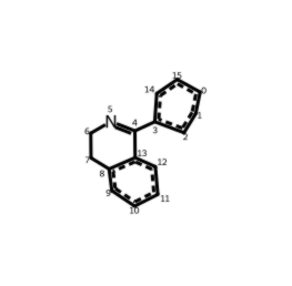 c1ccc(C2=NCCc3ccccc32)cc1